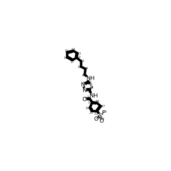 O=C(Nc1nnc(NCCCCc2ccccc2)s1)c1ccc(S(=O)(=O)F)cc1